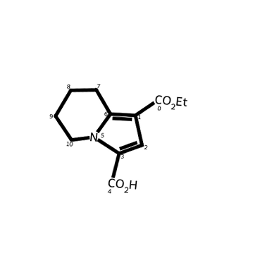 CCOC(=O)c1cc(C(=O)O)n2c1CCCC2